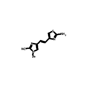 CC(C)n1cc(/C=C/c2csc(N)n2)nc1C#N